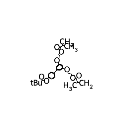 C=C(C)C(=O)OCCOc1cc(OCCOC(=O)C(=C)C)cc(-c2ccc(OC(=O)C(C)(C)C)cc2)c1